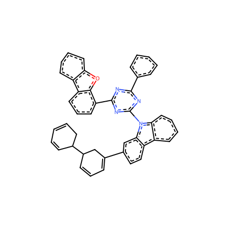 C1=CCC(C2C=CC=C(c3ccc4c5ccccc5n(-c5nc(-c6ccccc6)nc(-c6cccc7c6oc6ccccc67)n5)c4c3)C2)C=C1